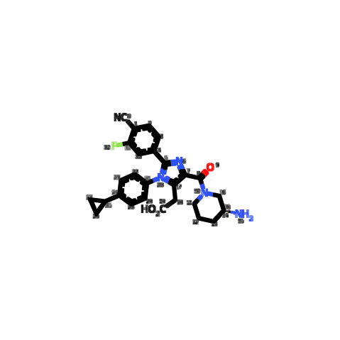 N#Cc1ccc(-c2nc(C(=O)N3CCC[C@@H](N)C3)c(CC(=O)O)n2-c2ccc(C3CC3)cc2)cc1F